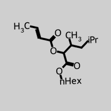 CC=CC(=O)OC(C(=O)OCCCCCC)C(C)CC(C)C